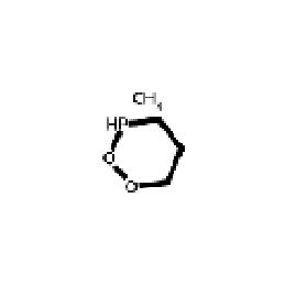 C.C1COOPC1